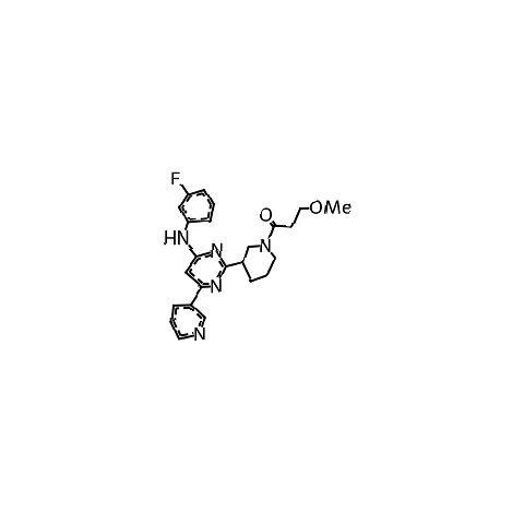 COCCC(=O)N1CCCC(c2nc(Nc3cccc(F)c3)cc(-c3cccnc3)n2)C1